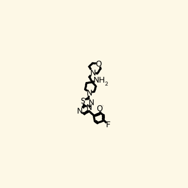 COc1cc(F)ccc1-c1cnc2sc(N3CCC(N)(CN4CCOCC4)CC3)nn12